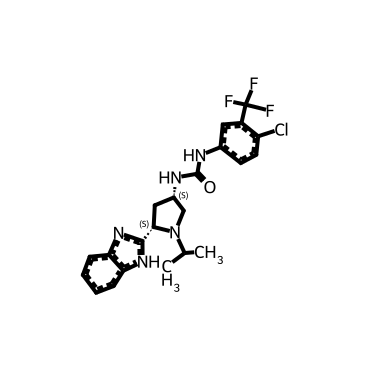 CC(C)N1C[C@@H](NC(=O)Nc2ccc(Cl)c(C(F)(F)F)c2)C[C@H]1c1nc2ccccc2[nH]1